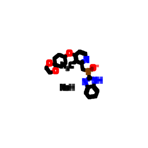 Cc1c(OC2CCC3(CC2)OCCO3)ccnc1C[S+]([O-])c1nc2ccccc2[nH]1.[NaH]